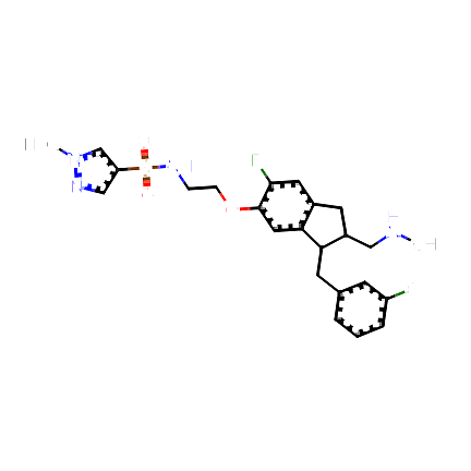 CNCC1Cc2cc(F)c(OCCNS(=O)(=O)c3cnn(C)c3)cc2C1Cc1cccc(Cl)c1